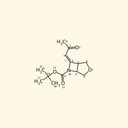 CC(=O)/C=C1\C2COCC2N1C(=O)OC(C)(C)C